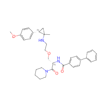 COc1ccc([C@@H]2CC2(C)NCCOC[C@H](NC(=O)c2ccc(-c3ccccc3)cc2)C(=O)N2CCCCC2)cc1